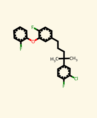 CC(C)(CCCc1ccc(F)c(Oc2ccccc2F)c1)c1ccc(F)c(Cl)c1